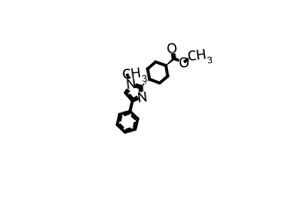 COC(=O)[C@H]1CC[C@H](c2nc(-c3ccccc3)cn2C)CC1